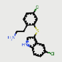 NCCc1ccc(Cl)cc1Sc1c[nH]c2ccc(Cl)cc12